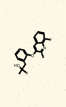 Cc1nc2c(F)cccc2cc1Oc1ccccc1CC(C)(O)F